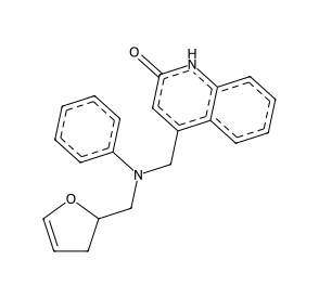 O=c1cc(CN(CC2CC=CO2)c2ccccc2)c2ccccc2[nH]1